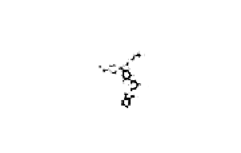 Cc1cc(N2C(=O)c3ccccc3C2=O)nc(-c2cc3nc(NC[C@@H](F)C(C)(C)O)nc(N4CCN(C(=O)OC(C)(C)C)CC4)c3cc2Cl)c1F